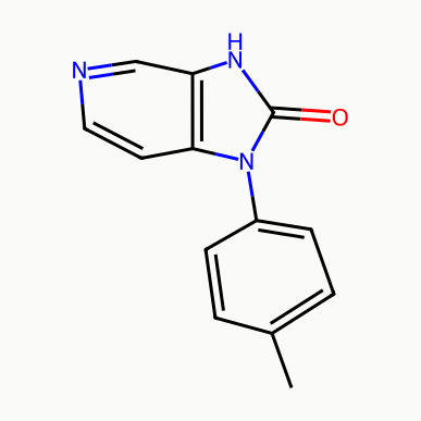 Cc1ccc(-n2c(=O)[nH]c3cnccc32)cc1